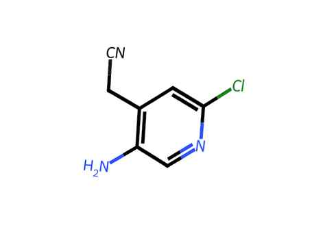 N#CCc1cc(Cl)ncc1N